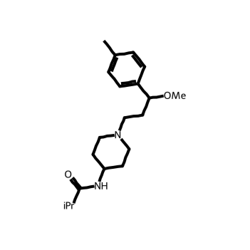 COC(CCN1CCC(NC(=O)C(C)C)CC1)c1ccc(C)cc1